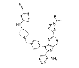 N#Cc1nccc(NC2CCN(Cc3ccc(-n4c(-c5cccnc5N)nc5ccc(-c6cnn(C(F)F)n6)nc54)cc3)CC2)n1